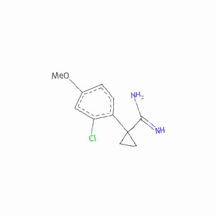 COc1ccc(C2(C(=N)N)CC2)c(Cl)c1